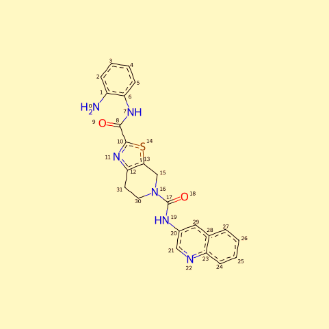 Nc1ccccc1NC(=O)c1nc2c(s1)CN(C(=O)Nc1cnc3ccccc3c1)CC2